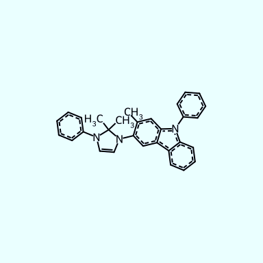 Cc1cc2c(cc1N1C=CN(c3ccccc3)C1(C)C)c1ccccc1n2-c1ccccc1